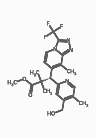 COC(=O)C(C)(C)[C@@H](c1cc(CO)c(C)cn1)c1ccn2c(C(F)(F)F)nnc2c1C